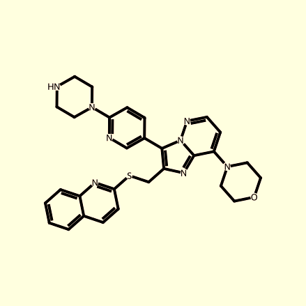 c1ccc2nc(SCc3nc4c(N5CCOCC5)ccnn4c3-c3ccc(N4CCNCC4)nc3)ccc2c1